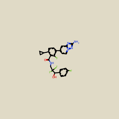 Nc1nc2cc(-c3ccc(C4CC4)c(C(=O)NCC(F)(F)C(O)c4ccc(F)cc4)c3F)ccn2n1